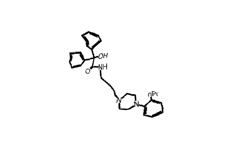 CCCc1ccccc1N1CCN(CCCNC(=O)C(O)(c2ccccc2)c2ccccc2)CC1